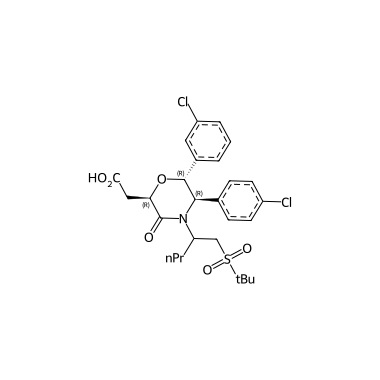 CCCC(CS(=O)(=O)C(C)(C)C)N1C(=O)[C@@H](CC(=O)O)O[C@H](c2cccc(Cl)c2)[C@H]1c1ccc(Cl)cc1